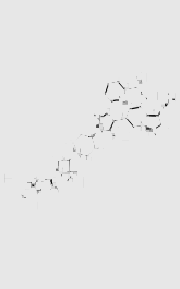 Cc1c(-c2cc(N[C@H](C)c3ccccn3)c3c(C#N)cnn3c2)cnn1C1CCN(C2CN(C(=O)OC(C)(C)C)C2(C)C)CC1